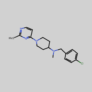 CSc1nccc(N2CCC(N(C)Cc3ccc(Cl)cc3)CC2)n1